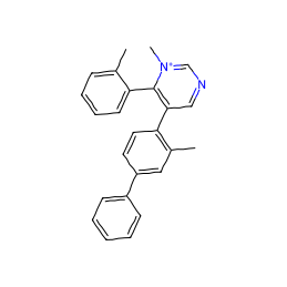 Cc1cc(-c2ccccc2)ccc1-c1cnc[n+](C)c1-c1ccccc1C